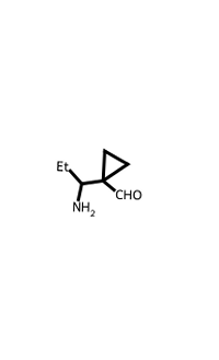 [CH2]CC(N)C1(C=O)CC1